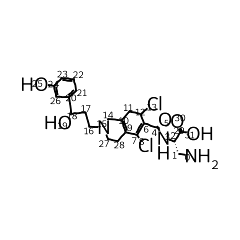 NC[C@H](NC(=O)C1=C(Cl)C2=C(CC1Cl)CN(CCC(O)c1cccc(O)c1)CC2)C(=O)O